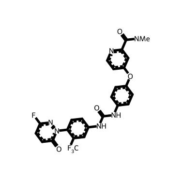 CNC(=O)c1cc(Oc2ccc(NC(=O)Nc3ccc(-n4nc(F)ccc4=O)c(C(F)(F)F)c3)cc2)ccn1